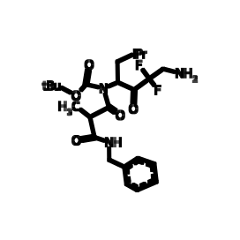 CC(C)CC(C(=O)C(F)(F)CN)N(C(=O)OC(C)(C)C)C(=O)C(C)C(=O)NCc1ccccc1